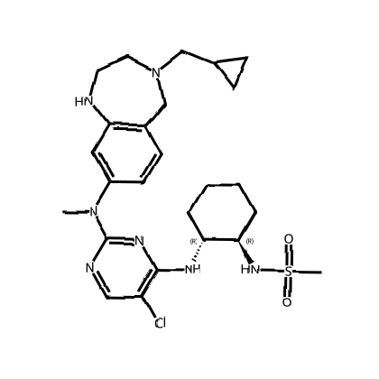 CN(c1ccc2c(c1)NCCN(CC1CC1)C2)c1ncc(Cl)c(N[C@@H]2CCCC[C@H]2NS(C)(=O)=O)n1